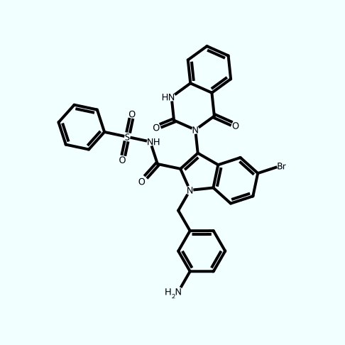 Nc1cccc(Cn2c(C(=O)NS(=O)(=O)c3ccccc3)c(-n3c(=O)[nH]c4ccccc4c3=O)c3cc(Br)ccc32)c1